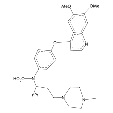 CCCC(CCN1CCN(C)CC1)N(C(=O)O)c1ccc(Oc2ccnc3cc(OC)c(OC)cc23)cc1